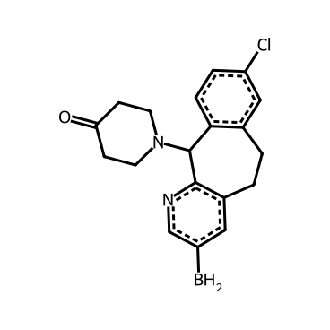 Bc1cnc2c(c1)CCc1cc(Cl)ccc1C2N1CCC(=O)CC1